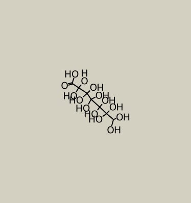 O=C(O)C(O)(O)C(O)(O)C(O)(O)C(O)(O)C(O)(O)C(O)O